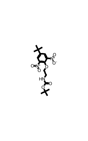 CC(C)(C)OC(=O)NCCOc1c([N+](=O)[O-])cc(C(C)(C)C)cc1[N+](=O)[O-]